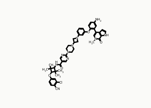 Cn1cc(-c2cc(N)ccc2Oc2cccc(N3CC(N4CCN(c5ncc(C(=O)NC6C(C)(C)C(Oc7ccc(C#N)c(Cl)c7)C6(C)C)cn5)CC4)C3)c2)c2cc[nH]c2c1=O